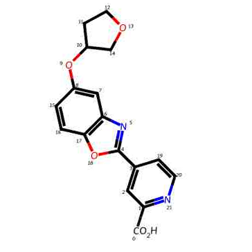 O=C(O)c1cc(-c2nc3cc(OC4CCOC4)ccc3o2)ccn1